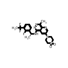 Cc1nnc(N[C@H](C)c2cccc(C(C)(F)F)c2F)c2cc(N3CCS(=O)(=O)CC3)cnc12